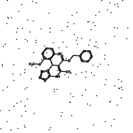 COc1cccc(O)c1C1C(C(=O)OCc2ccccc2)=C(C)Nc2nnnn21